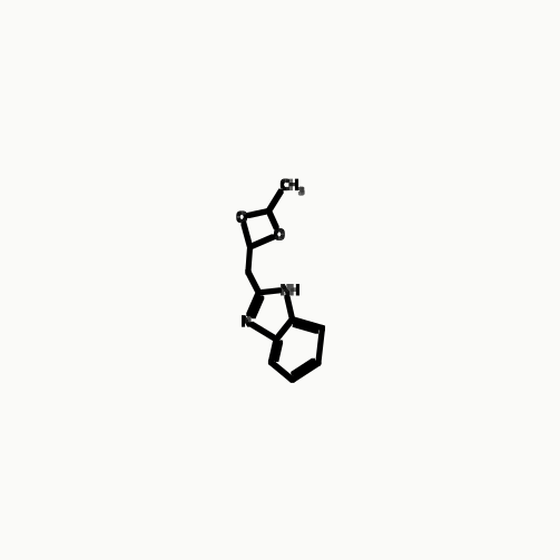 CC1OC(Cc2nc3ccccc3[nH]2)O1